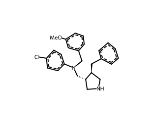 COc1cccc(CN(C[C@H]2CNC[C@@H]2Cc2ccccc2)c2ccc(Cl)cc2)c1